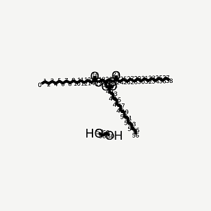 CCCCCCCCCCCCCCCC(=O)OCC(COC(=O)CCCCCCCCCCCCCCC)OC(=O)CCCCCCCCCCCCCCC.OCCO